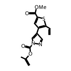 C=Cc1sc(C(=O)OC)cc1-c1cnn(C(=O)OC(=C)C)c1